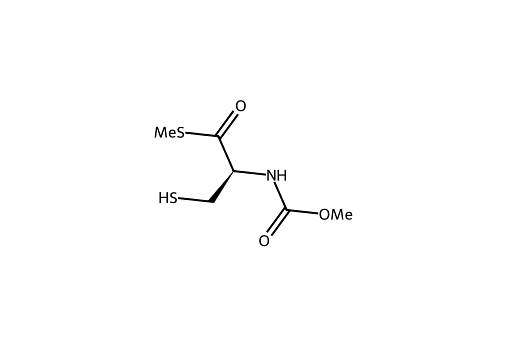 COC(=O)N[C@@H](CS)C(=O)SC